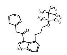 CC(C)(C)[Si](C)(C)OCCCc1cccc2[nH]cc(C(=O)Cc3ccccc3)c12